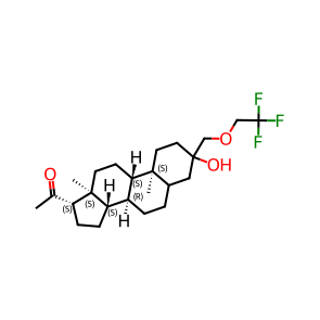 CC(=O)[C@H]1CC[C@H]2[C@@H]3CCC4CC(O)(COCC(F)(F)F)CC[C@]4(C)[C@H]3CC[C@]12C